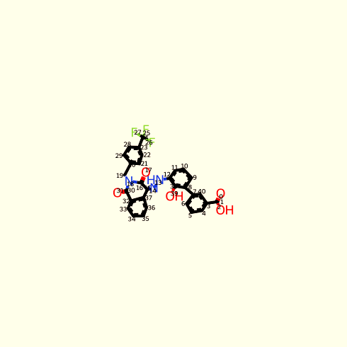 O=C(O)c1cccc(-c2cccc(N/N=C3\C(=O)N(Cc4ccc(C(F)(F)F)cc4)C(=O)c4ccccc43)c2O)c1